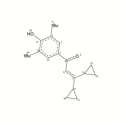 CC(C)(C)c1cc(C(=O)C=C(C2CC2)C2CC2)cc(C(C)(C)C)c1O